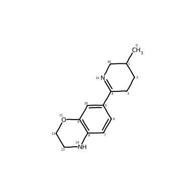 CC1CCC(c2ccc3c(c2)OCCN3)=NC1